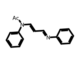 CC(=O)N(/C=C/C=N/c1ccccc1)c1ccccc1